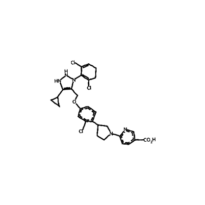 O=C(O)c1ccc(N2CCC(c3ccc(OCC4=C(C5CC5)NNN4C4=C(Cl)CCC=C4Cl)cc3Cl)C2)nc1